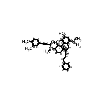 Cc1ccc(C#CC(=O)N(C)[C@@H]2CC[C@H]3[C@H]4Cc5c(N(C)C)cc(O)c6c5[C@@]3(CCN4CCc3ccccc3)[C@H]2O6)cc1C